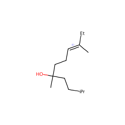 CC/C(C)=C/CCC(C)(O)CCC(C)C